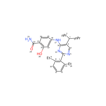 CCCC(CCC)c1cnc(-c2c(CC)cccc2CC)nc1Nc1ccc(C(N)=O)c(O)c1